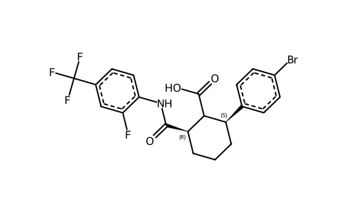 O=C(O)C1[C@@H](c2ccc(Br)cc2)CCC[C@H]1C(=O)Nc1ccc(C(F)(F)F)cc1F